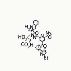 CCc1csc([C@H]2CCCN2C(=O)c2cc(-c3ncco3)nc(-c3nnc([C@](C)(N)Cc4ccccc4)o3)c2)n1.O=C(O)C=CC(=O)O